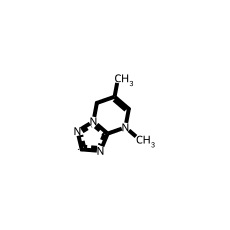 CC1=CN(C)c2n[c]nn2C1